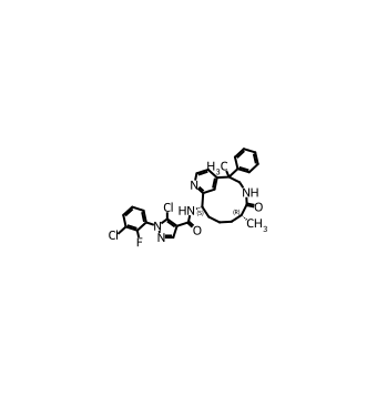 C[C@@H]1CCC[C@H](NC(=O)c2cnn(-c3cccc(Cl)c3F)c2Cl)c2cc(ccn2)C(C)(c2ccccc2)CNC1=O